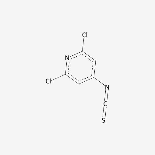 S=C=Nc1cc(Cl)nc(Cl)c1